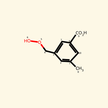 Cc1cc(COO)cc(C(=O)O)c1